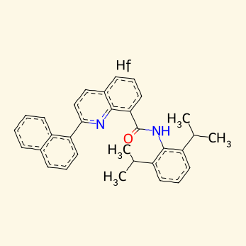 CC(C)c1cccc(C(C)C)c1NC(=O)c1cccc2ccc(-c3cccc4ccccc34)nc12.[Hf]